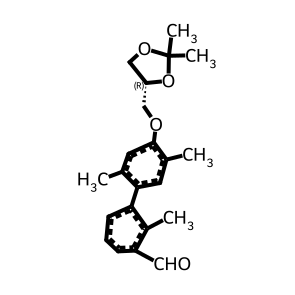 Cc1cc(-c2cccc(C=O)c2C)c(C)cc1OC[C@@H]1COC(C)(C)O1